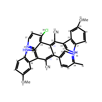 COc1ccc2[nH]cc(/C(C#N)=C(\C(=C(\C#N)c3c[nH]c4ccc(OC)cc34)c3cnccc3Cl)c3ccc(C)nc3)c2c1